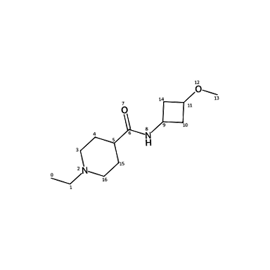 CCN1CCC(C(=O)NC2CC(OC)C2)CC1